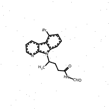 CC(C)c1cccc2c1c1cccnc1n2C(C)CCC(=O)NC=O